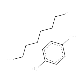 OCCCCCCS.Oc1ccc(S)cc1